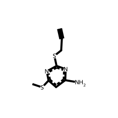 C#CCSc1nc(N)cc(SC)n1